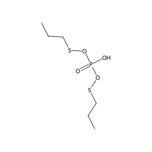 CCCSOP(=O)(O)OSCCC